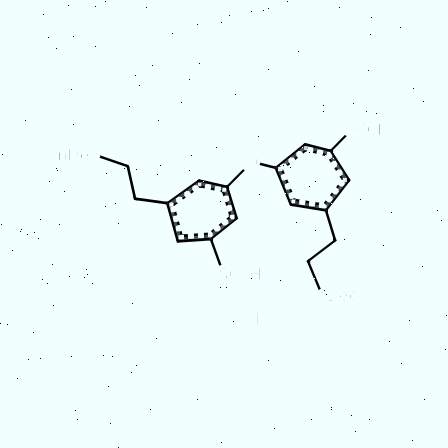 CCCCCCCCCCCCc1cc(Oc2cc(CCCCCCCCCCCC)cc(S(=O)(=O)O)c2)cc(S(=O)(=O)O)c1.[KH]